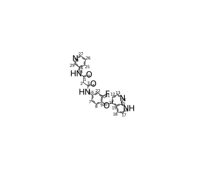 O=C(CC(=O)Nc1ccc(Oc2ccnc3[nH]ccc23)c(F)c1)Nc1cccnc1